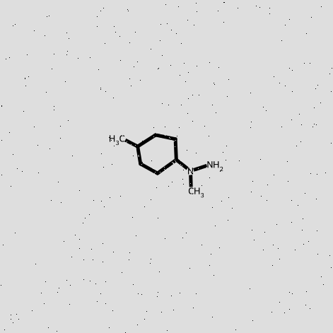 CC1CCC(N(C)N)CC1